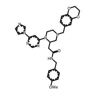 COc1ccc(CNC(=O)CC2CN(Cc3ccc4c(c3)OCCO4)CCN2c2cc(-n3ccnc3)ncn2)cc1